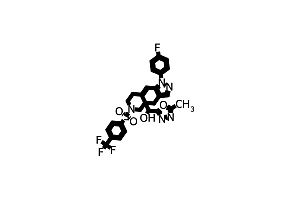 Cc1nnc(C(O)C23Cc4cnn(-c5ccc(F)cc5)c4C=C2CCN(S(=O)(=O)c2ccc(C(F)(F)F)cc2)C3)o1